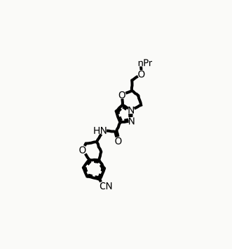 CCCOCC1CCn2nc(C(=O)NC3COc4ccc(C#N)cc4C3)cc2O1